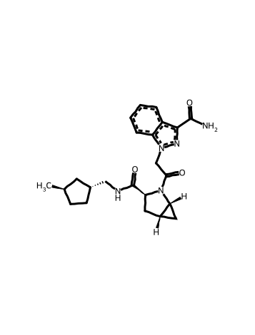 C[C@@H]1CC[C@@H](CNC(=O)[C@@H]2C[C@H]3C[C@H]3N2C(=O)Cn2nc(C(N)=O)c3ccccc32)C1